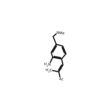 CNCc1ccc(/C=C(\C)C(C)=O)c(N)c1